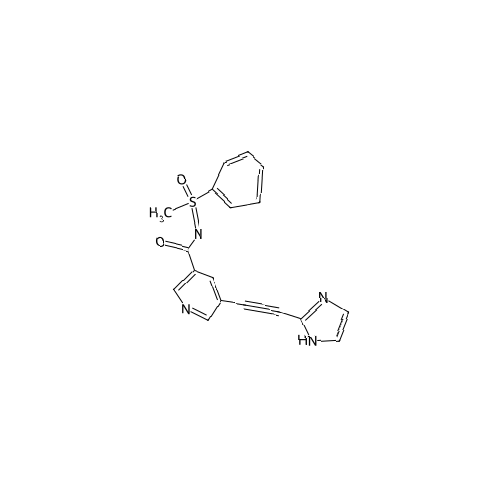 CS(=O)(=NC(=O)c1cncc(C#Cc2ncc[nH]2)c1)c1ccccc1